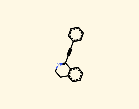 C(#Cc1ccccc1)C1=NCCc2ccccc21